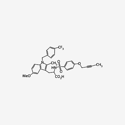 CC#CCOc1ccc(S(=O)(=O)NC(Cc2c(C)n(Cc3ccc(C(F)(F)F)cc3)c3ccc(OC)cc23)C(=O)O)cc1